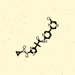 CC(C)(C(=O)Nc1ccc(-c2cncc(Cl)n2)cn1)c1csc(N[S+]([O-])C2CC2)n1